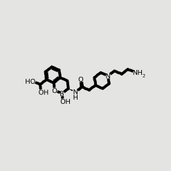 NCCCN1CCC(CC(=O)N[C@H]2Cc3cccc(C(O)O)c3OB2O)CC1